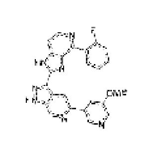 COc1cncc(-c2cc3c(-c4nc5c(-c6ccccc6F)nccc5[nH]4)n[nH]c3cn2)c1